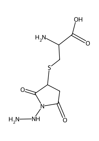 NNN1C(=O)CC(SCC(N)C(=O)O)C1=O